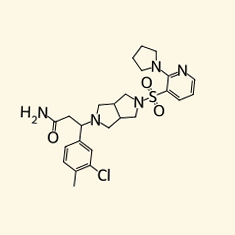 Cc1ccc(C(CC(N)=O)N2CC3CN(S(=O)(=O)c4cccnc4N4CCCC4)CC3C2)cc1Cl